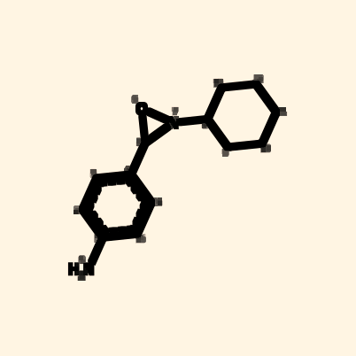 Nc1ccc(C2ON2C2CCCCC2)cc1